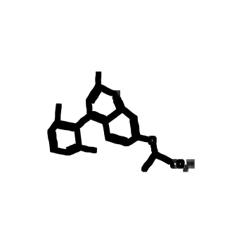 Cc1cc(-c2c(C)cccc2C)c2ccc(OC(C)C(=O)O)cc2n1